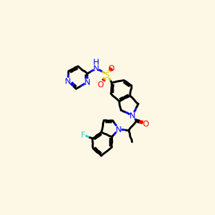 CC(C(=O)N1Cc2ccc(S(=O)(=O)Nc3ccncn3)cc2C1)n1ccc2c(F)cccc21